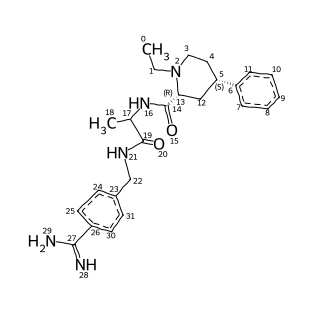 CCN1CC[C@H](c2ccccc2)C[C@@H]1C(=O)NC(C)C(=O)NCc1ccc(C(=N)N)cc1